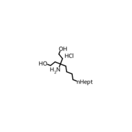 CCCCCCCCCCCC(N)(CCO)CCO.Cl